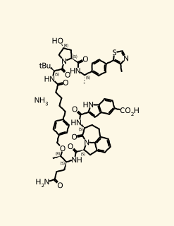 Cc1ncsc1-c1ccc([C@H](C)NC(=O)[C@@H]2C[C@@H](O)CN2C(=O)[C@@H](NC(=O)CCCCc2ccc(CO[C@H](C)[C@H](CCC(N)=O)NC(=O)[C@@H]3Cc4cccc5c4N3C(=O)[C@@H](NC(=O)c3cc4cc(C(=O)O)ccc4[nH]3)CC5)cc2)C(C)(C)C)cc1.N